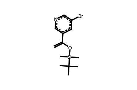 C=C(O[Si](C)(C)C(C)(C)C)c1cncc(Br)c1